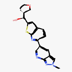 Cn1cc2cc(-c3ccc4cc([C@@H](O)[C@@H]5CCOC5)sc4n3)cnc2n1